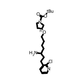 CC(C)(C)OC(=O)N1CC[C@@H](OCCCCC(N)CCc2cccnc2Cl)C1